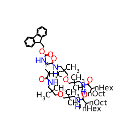 CCCCCCCCC(CCCCCC)C(=O)NCC(C)(C)COCC(C)(C)CNC(=O)CC[C@H](NC(=O)OCC1c2ccccc2-c2ccccc21)C(=O)NCC(C)(C)COCC(C)(C)CNC(=O)C(CCCCCC)CCCCCCCC